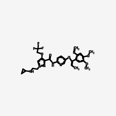 C=Nc1cc(OC)c(OC)cc1/C(=C\C)Oc1ccc(NC(=O)c2nn(CCNC3CC3)cc2OCC(F)(F)F)nc1